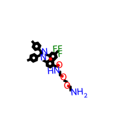 Cc1ccc(-c2nc(-c3cccc(C(F)(F)F)c3)n(Cc3ccc(C(=O)NCCOCCOCCN)cc3)c2-c2ccc(C)cc2)cc1